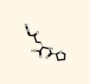 [N-]=[N+]=CC(=O)CC[C@H](NC(=O)[C@@H]1CCCO1)C(=O)O